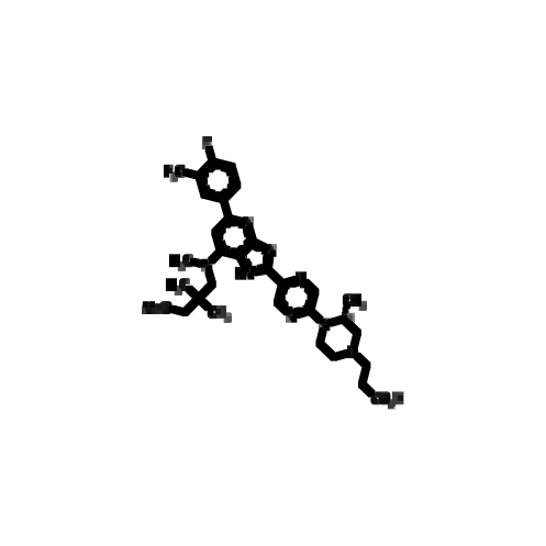 COCC(C)(C)CN(C)c1cc(-c2ccc(F)c(C(F)(F)F)c2)nc2nc(-c3cnc(N4CCN(CCC(=O)O)C[C@H]4C)cn3)[nH]c12